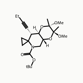 CCC#C[C@@H]1[C@H]2O[C@](C)(OC)[C@@](C)(OC)O[C@@H]2CN(C(=O)OC(C)(C)C)C12CC2